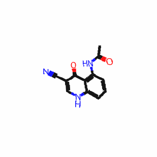 CC(=O)Nc1cccc2[nH]cc(C#N)c(=O)c12